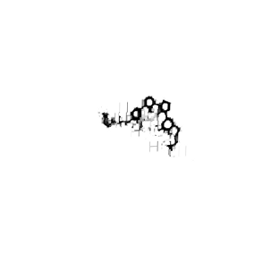 COc1cc(-c2cccc(-c3cccc(-c4ccc(CNC[C@H]5CCC(=O)N5)c(OC)n4)c3Cl)c2Cl)cc2c1CN(CC(C)O)CC2